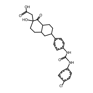 O=C(O)CC1(O)CCC2CC(c3ccc(NC(=O)Nc4ccc(Cl)cc4)cc3)CCC2C1=O